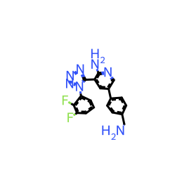 NCc1ccc(-c2cnc(N)c(-c3nnnn3-c3cccc(F)c3F)c2)cc1